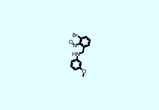 COc1cccc(NCc2cccc(Br)c2N=O)c1